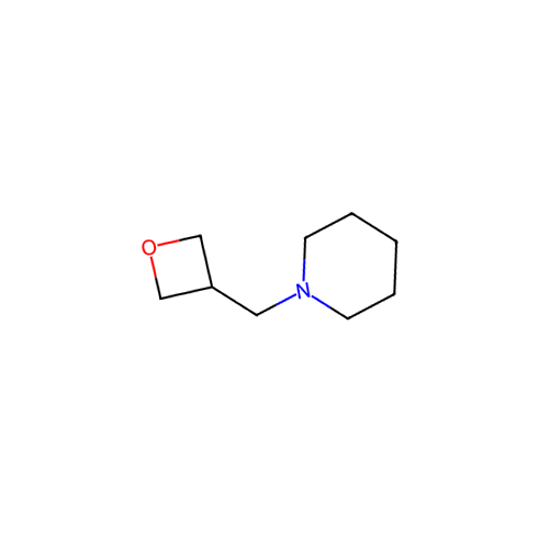 C1CCN(CC2COC2)CC1